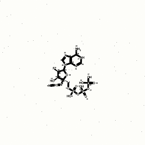 [N-]=[N+]=N[C@]1(COP(=O)(O)OP(=O)(O)OP(=O)(O)O)OC(n2cnc3c2N=CNC3N)[C@H](F)[C@@H]1O